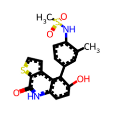 Cc1cc(-c2c(O)ccc3[nH]c(=O)c4sccc4c23)ccc1NS(C)(=O)=O